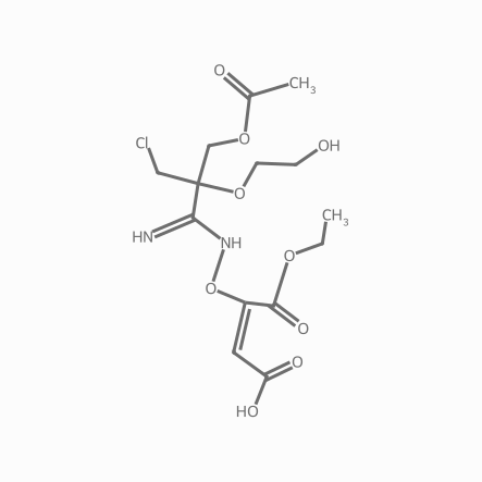 CCOC(=O)/C(=C\C(=O)O)ONC(=N)C(CCl)(COC(C)=O)OCCO